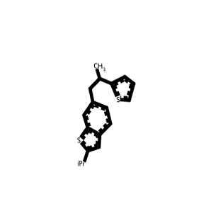 CC(C)c1cc2ccc(CC(C)c3cccs3)cc2s1